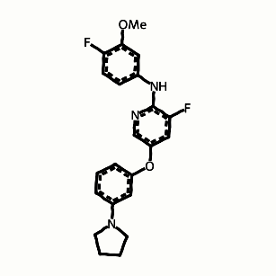 COc1cc(Nc2ncc(Oc3cccc(N4CCCC4)c3)cc2F)ccc1F